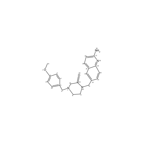 COc1ccc(CN2CCN(Cc3ccc4nc(N)ccc4c3)C(=O)C2)cc1